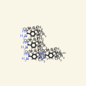 C[Si](C)(C)c1ccc(C(=N)N)c(C(=O)[O-])c1[Si](C)(C)C.C[Si](C)(C)c1ccc(C(=N)N)c(C(=O)[O-])c1[Si](C)(C)C.C[Si](C)(C)c1ccc(C(=N)N)c(C(=O)[O-])c1[Si](C)(C)C.C[Si](C)(C)c1ccc(C(=N)N)c(C(=O)[O-])c1[Si](C)(C)C.[Zr+4]